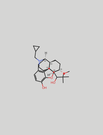 CO[C@@]12CC[C@@]3(C[C@@H]1C(O)C(C)(C)C)[C@H]1Cc4ccc(O)c5c4[C@@]3(CCN1CC1CC1)C2O5